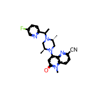 CC(c1ccc(F)cn1)N1C[C@H](C)N(c2cc(=O)n(C)c3ccc(C#N)nc23)C[C@H]1C